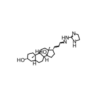 C[C@]12CC[C@H](O)C[C@H]1CC[C@@H]1[C@@H]2CC[C@]2(C)[C@@H](/C=C/C=N/NC3=NCCN3)CC[C@]12O